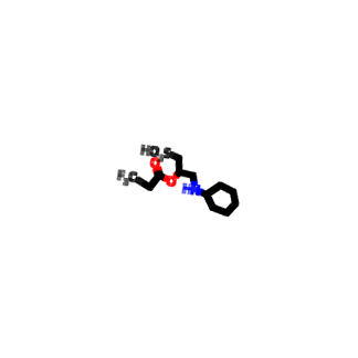 O=C(CC(F)(F)F)OC(CNC1CCCCC1)CS(=O)(=O)O